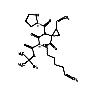 C=CCCCCC[C@H](C(=O)OC(C)(C)C)C(=O)N(C(=O)[C@@H]1CCCN1)C1(C(=O)O)CC1C=C